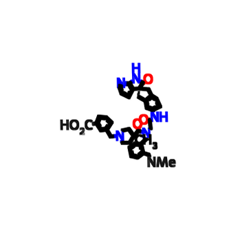 CNCc1ccccc1CN(CC(=O)Nc1ccc2c(c1)C[C@@]1(C2)C(=O)Nc2ncccc21)C(=O)C1(C)CCN(Cc2cccc(C(=O)O)c2)CC1